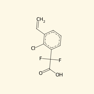 C=Cc1cccc(C(F)(F)C(=O)O)c1Cl